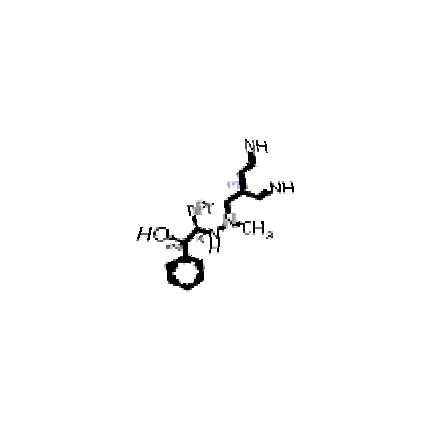 CCC[C@@H](NN(C)C/C(C=N)=C/C=N)[C@H](O)c1ccccc1